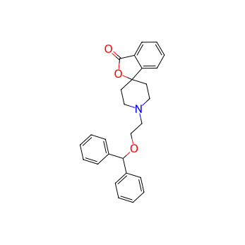 O=C1OC2(CCN(CCOC(c3ccccc3)c3ccccc3)CC2)c2ccccc21